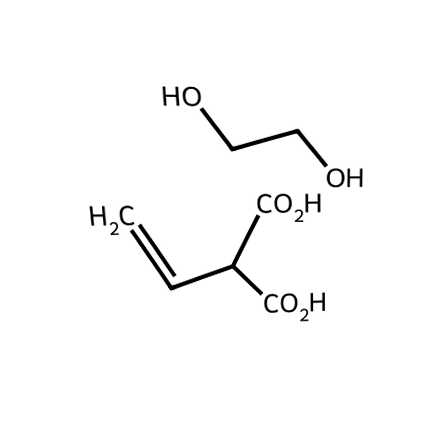 C=CC(C(=O)O)C(=O)O.OCCO